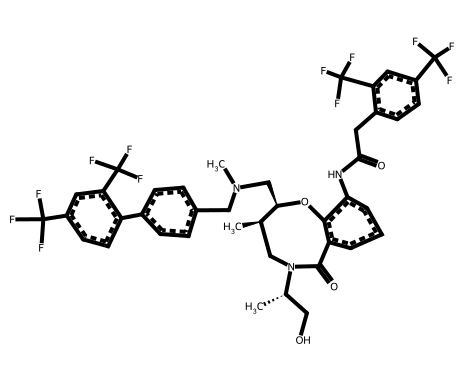 C[C@@H]1CN([C@@H](C)CO)C(=O)c2cccc(NC(=O)Cc3ccc(C(F)(F)F)cc3C(F)(F)F)c2O[C@@H]1CN(C)Cc1ccc(-c2ccc(C(F)(F)F)cc2C(F)(F)F)cc1